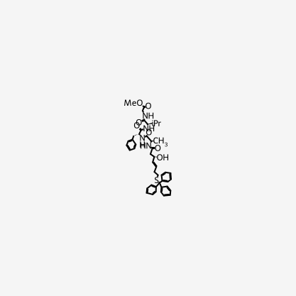 COC(=O)CNC(=O)[C@H](NC(=O)[C@@H](Cc1ccccc1)NC(=O)[C@@H](C)NC(=O)C[C@H](O)/C=C/CCSC(c1ccccc1)(c1ccccc1)c1ccccc1)C(C)C